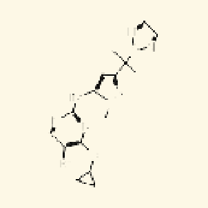 Cn1nc(C(C)(C)n2nccn2)cc1Nc1ncc(Br)c(OC2CC2)n1